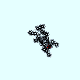 C1=CC2=Cc3c(-c4ccc5cc6ccccc6cc5c4)cccc3N(c3cc4oc5cc(N(c6ccccc6)c6cccc7cc(-c8ccccc8)ccc67)cc6c7cc(N8c9ccccc9C=C9C(c%10ccccc%10)=CC=CC98)cc8oc9c(-c%10cccc%11cc%12cc(-c%13c%14ccccc%14cc%14ccccc%13%14)ccc%12cc%10%11)ccc(c(c3)c4c56)c9c87)C2C=C1